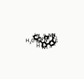 Cc1ccnc2nc(-c3cncc(-c4ccc(F)c(C#N)c4)c3N3CC[C@H](N)C3)[nH]c12